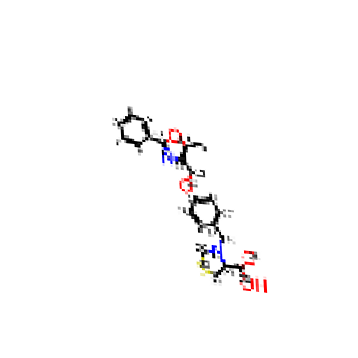 Cc1oc(-c2ccccc2)nc1COc1ccc(CN2CSCC2C(=O)O)cc1